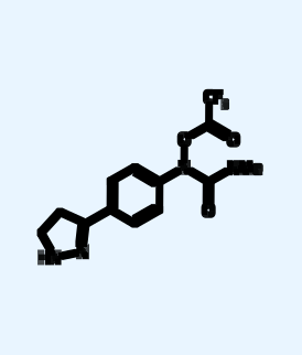 CNC(=O)N(OC(=O)C(F)(F)F)c1ccc(C2=NNCC2)cc1